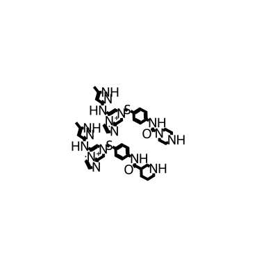 Cc1cc(NC2=CN(Sc3ccc(NC(=O)C4CCCNC4)cc3)CC3=NC=C[N+]23)n[nH]1.Cc1cc(NC2=CN(Sc3ccc(NC(=O)N4CCNCC4)cc3)CC3=NC=C[N+]23)n[nH]1